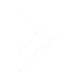 CC(C)(C)c1ccc2c(OBO)cc(C(C)(C)C)cc2c1